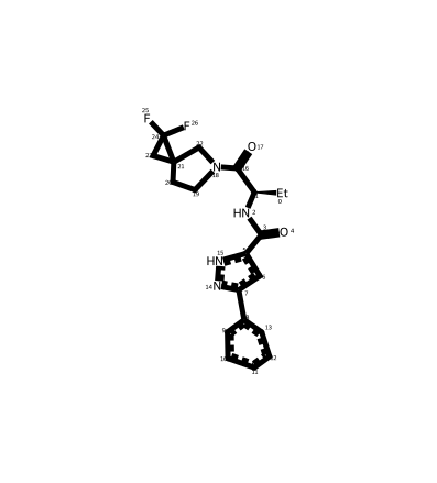 CC[C@@H](NC(=O)c1cc(-c2ccccc2)n[nH]1)C(=O)N1CCC2(C1)CC2(F)F